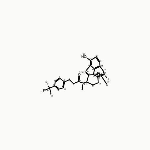 CN(C(=O)CCc1ccc(C(F)(F)F)cc1)C1CC[C@@]2(O)[C@H]3Cc4ccc(O)c5c4[C@@]2(CCN3C)C1(C)O5